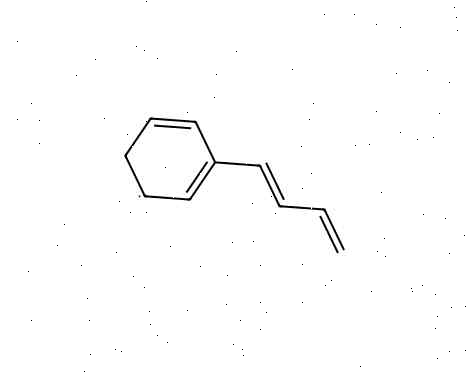 C=CC=CC1=C[CH]CC=C1